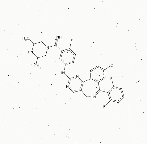 CC1CN(C(=N)c2cc(Nc3ncc4c(n3)-c3ccc(Cl)cc3C(c3c(F)cccc3F)=NC4)ccc2F)CC(C)N1